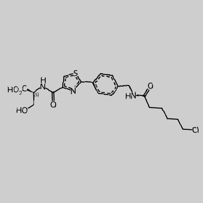 O=C(CCCCCCl)NCc1ccc(-c2nc(C(=O)N[C@@H](CO)C(=O)O)cs2)cc1